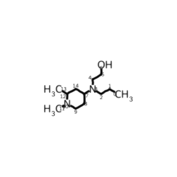 CCCN(CCO)C1CCN(C)C(C)C1